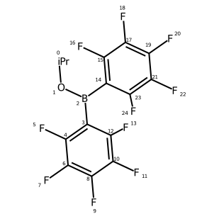 CC(C)OB(c1c(F)c(F)c(F)c(F)c1F)c1c(F)c(F)c(F)c(F)c1F